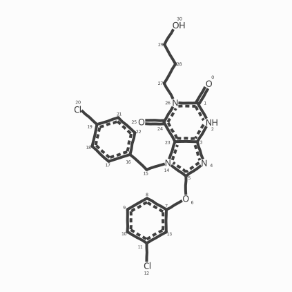 O=c1[nH]c2nc(Oc3cccc(Cl)c3)n(Cc3ccc(Cl)cc3)c2c(=O)n1CCCO